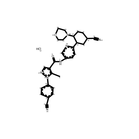 Cc1c(C(=O)Nc2ccc(C3CC(C#N)CCC3N3CCOCC3)nc2)cnn1-c1ccc(C#N)cc1.Cl